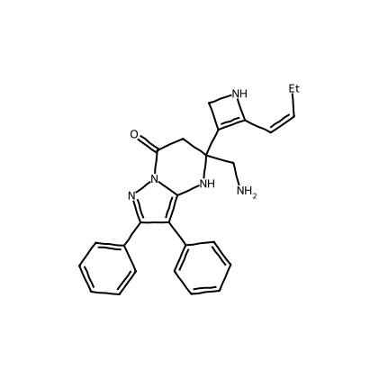 CC/C=C\C1=C(C2(CN)CC(=O)n3nc(-c4ccccc4)c(-c4ccccc4)c3N2)CN1